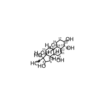 C#C[C@]1(O)[C@H](O)C[C@H]2[C@@H]3[C@@H](O)C=C4[C@@H](O)[C@H](O)CC[C@]4(C)[C@H]3CC[C@@]21C